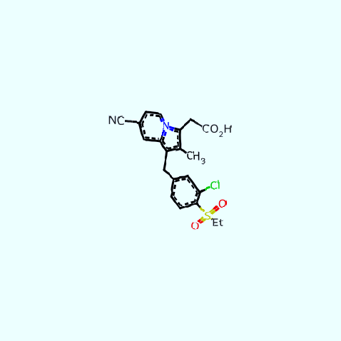 CCS(=O)(=O)c1ccc(Cc2c(C)c(CC(=O)O)n3ccc(C#N)cc23)cc1Cl